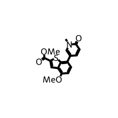 COC(=O)c1cc2c(OC)ccc(-c3ccc(=O)n(C)c3)c2s1